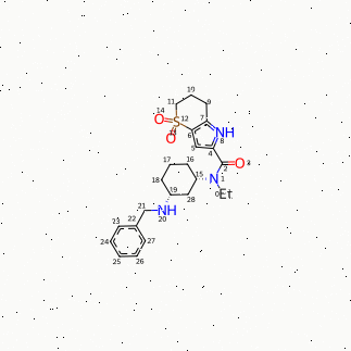 CCN(C(=O)c1cc2c([nH]1)CCCS2(=O)=O)[C@H]1CCC[C@@H](NCc2ccccc2)C1